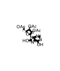 CC(=O)OC[C@H]1O[C@@H](n2c(O)nc3c(O)ncnc32)[C@H](OC(C)=O)[C@@H]1OC(C)=O